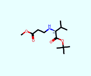 COC(=O)CCN[C@H](C(=O)OC(C)(C)C)C(C)C